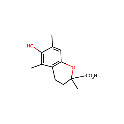 Cc1cc2c(c(C)c1O)CCC(C)(C(=O)O)O2